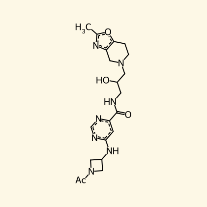 CC(=O)N1CC(Nc2cc(C(=O)NCC(O)CN3CCc4oc(C)nc4C3)ncn2)C1